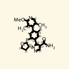 COc1ncc(C)c(-c2cc(F)c(-c3c(C(N)=O)cnn3[C@@H]3CCOC3)cc2F)c1C